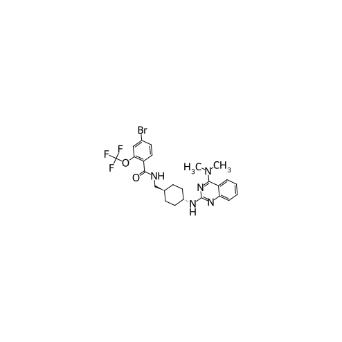 CN(C)c1nc(N[C@H]2CC[C@H](CNC(=O)c3ccc(Br)cc3OC(F)(F)F)CC2)nc2ccccc12